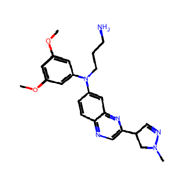 COc1cc(OC)cc(N(CCCN)c2ccc3ncc(C4C=NN(C)C4)nc3c2)c1